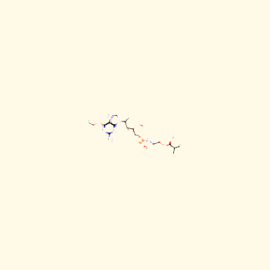 CCOc1nc(N)nc2c1NCN2C(C)CC(COP(=O)(NCCOC(=O)C(C)C)OC)OC